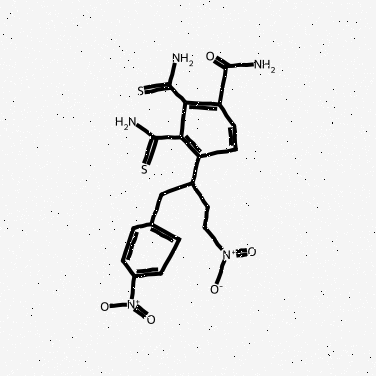 NC(=O)c1ccc(C(CC[N+](=O)[O-])Cc2ccc([N+](=O)[O-])cc2)c(C(N)=S)c1C(N)=S